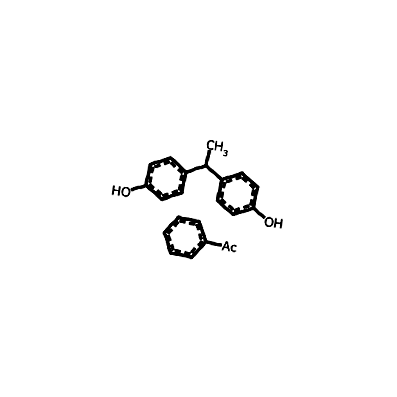 CC(=O)c1ccccc1.CC(c1ccc(O)cc1)c1ccc(O)cc1